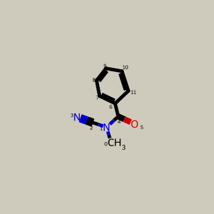 CN(C#N)C(=O)c1c[c]ccc1